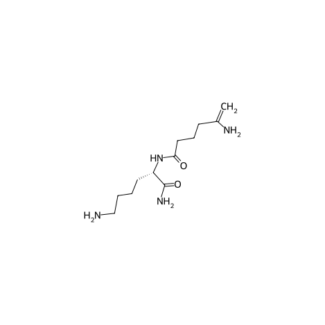 C=C(N)CCCC(=O)N[C@@H](CCCCN)C(N)=O